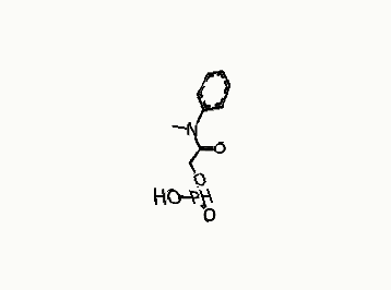 CN(C(=O)CO[PH](=O)O)c1ccccc1